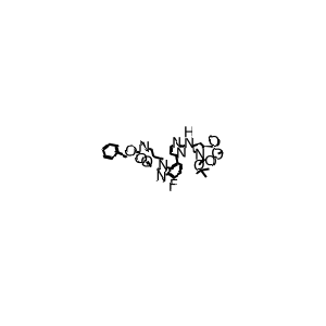 COC(=O)[C@@H]1C[C@H](Nc2nccc(-c3ccc(F)c4ncn(CC(CN(C)C(=O)OCc5ccccc5)OC)c34)n2)CN1C(=O)OC(C)(C)C